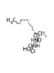 CC/C=C\C/C=C\C/C=C\CCCCCCCCOC(CC)C(=O)NCCNC(=O)c1ccccc1O